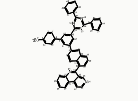 CC(C)(C)c1ccc(-c2cc(-c3ccc4c(-c5nc6ccccc6c6ccncc56)cccc4c3)cc(-c3nc(-c4ccccc4)nc(-c4ccccc4)n3)c2)cc1